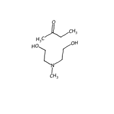 CCC(C)=O.CN(CCO)CCO